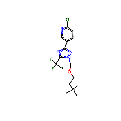 C[Si](C)(C)CCOCn1nc(-c2ccc(Cl)nc2)nc1C(F)(F)F